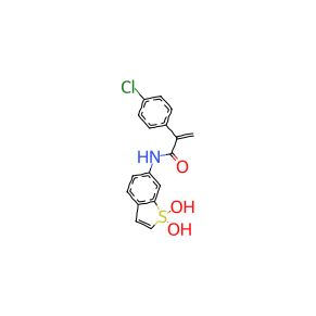 C=C(C(=O)Nc1ccc2c(c1)S(O)(O)C=C2)c1ccc(Cl)cc1